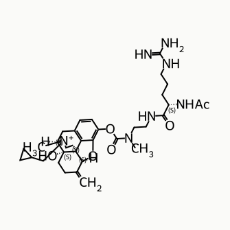 C=C1CC[C@@]2(O)[C@H]3Cc4ccc(OC(=O)N(C)CCNC(=O)[C@H](CCCNC(=N)N)NC(C)=O)c5c4[C@@]2(CC[N+]3(C)CC2CC2)[C@H]1O5